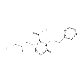 O=C(O)c1c(OCc2ccccc2)c(=O)ccn1CC(O)CO